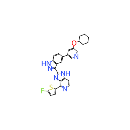 Fc1ccc(-c2nccc3[nH]c(-c4n[nH]c5ccc(-c6cncc(OC7CCCCC7)c6)cc45)nc23)s1